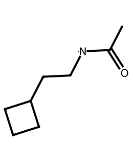 CC(=O)[N]CCC1CCC1